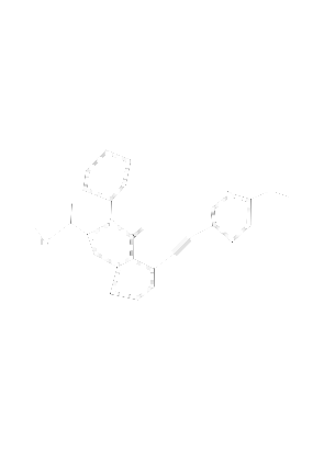 CNC(C)c1cc2cccc(C#Cc3ccc(OC)nc3)c2c(=O)n1-c1ccccc1